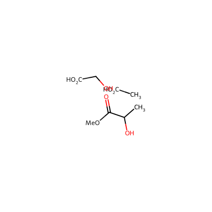 CC(=O)O.COC(=O)C(C)O.O=C(O)CO